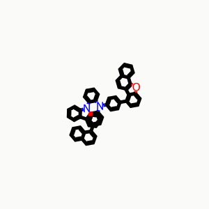 c1ccc(-n2c3ccccc3c3ccccc32)c(N(c2ccc(-c3cccc4ccccc34)cc2)c2ccc(-c3cccc4oc5c6ccccc6ccc5c34)cc2)c1